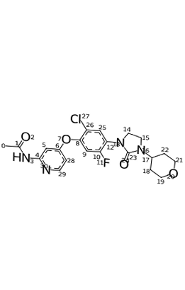 CC(=O)Nc1cc(Oc2cc(F)c(N3CCN(C4CCOCC4)C3=O)cc2Cl)ccn1